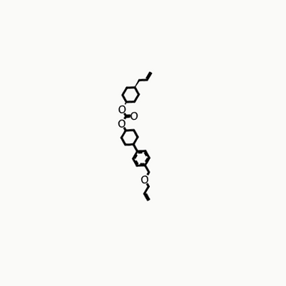 C=CCOCc1ccc(C2CCC(OC(=O)O[C@H]3CC[C@H](CC=C)CC3)CC2)cc1